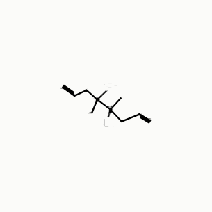 [CH]=CCC(C)(CC)C(C)(CC)CC=C